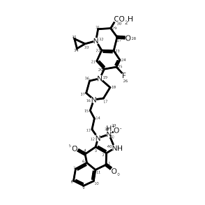 O=C1C2=C(C(=O)c3ccccc31)N(CCCN1CCN(c3cc4c(cc3F)C(=O)C(C(=O)O)CN4C3CC3)CC1)[N@@H+]([O-])N2